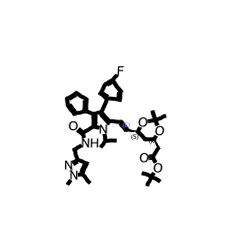 Cc1cc(CNC(=O)c2c(-c3ccccc3)c(-c3ccc(F)cc3)c(/C=C/[C@@H]3C[C@H](CC(=O)OC(C)(C)C)OC(C)(C)O3)n2C(C)C)nn1C